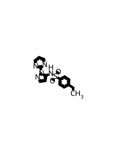 CCc1ccc(S(=O)(=O)Nc2ccnn2-c2ncccn2)cc1